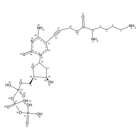 NCCCCC(N)C(=O)OCC#Cc1cn(C2C[C@@H](O)[C@@H](COP(=O)(O)OP(=O)(O)OP(=O)(O)O)O2)c(=O)nc1N